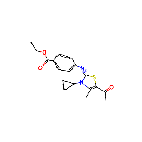 CCOC(=O)c1ccc(/N=c2/sc(C(C)=O)c(C)n2C2CC2)cc1